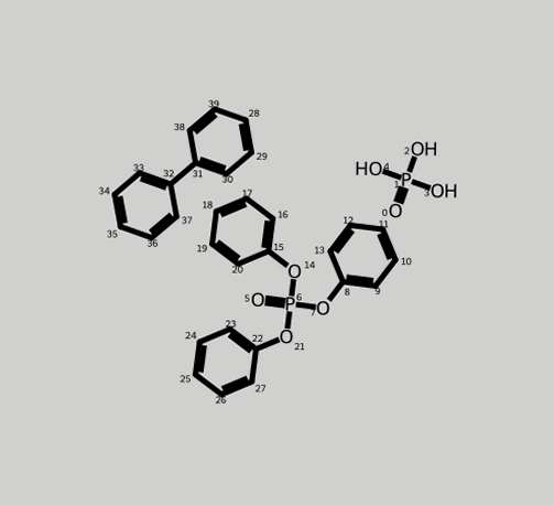 O=P(O)(O)O.O=P(Oc1ccccc1)(Oc1ccccc1)Oc1ccccc1.c1ccc(-c2ccccc2)cc1